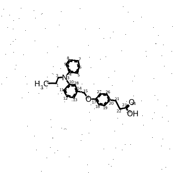 CCCN(c1ccccc1)c1cccc(COc2ccc(CCC(=O)O)cc2)c1